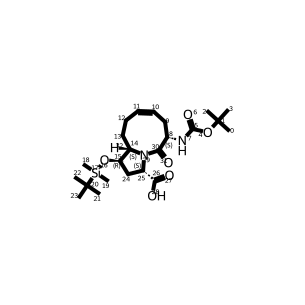 CC(C)(C)OC(=O)N[C@H]1CC=CCC[C@H]2[C@H](O[Si](C)(C)C(C)(C)C)C[C@@H](C(=O)O)N2C1=O